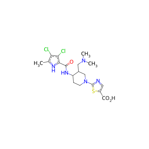 Cc1[nH]c(C(=O)NC2CCN(c3ncc(C(=O)O)s3)CC2CN(C)C)c(Cl)c1Cl